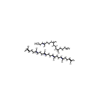 C/C(=C\CO)CCCC(C)CCCC(C)CCCC(C)C.CC(C)=CCC/C(C)=C/CC/C(C)=C/CC/C=C(\C)CC/C=C(\C)CCC=C(C)C